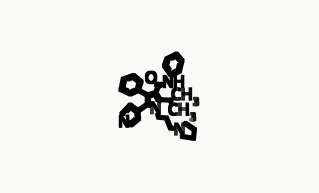 CC(C)c1c(C(=O)Nc2ccccc2)c(-c2ccccc2)c(-c2ccncc2)n1CCCN1CCCC1